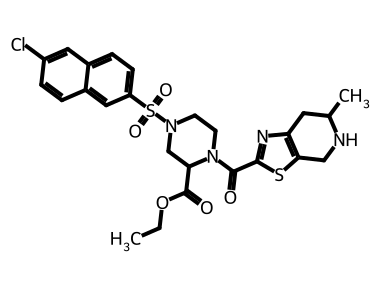 CCOC(=O)C1CN(S(=O)(=O)c2ccc3cc(Cl)ccc3c2)CCN1C(=O)c1nc2c(s1)CNC(C)C2